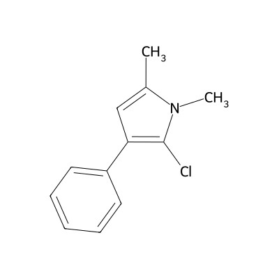 Cc1cc(-c2ccccc2)c(Cl)n1C